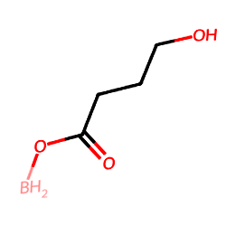 BOC(=O)CCCO